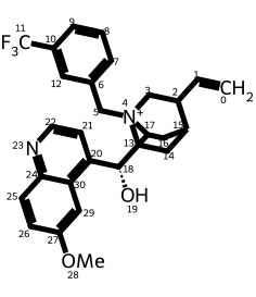 C=CC1C[N+]2(Cc3cccc(C(F)(F)F)c3)CCC1CC2[C@H](O)c1ccnc2ccc(OC)cc12